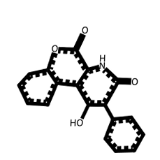 O=c1[nH]c2c(=O)oc3ccccc3c2c(O)c1-c1ccccc1